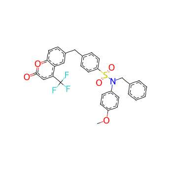 COc1ccc(N(Cc2ccccc2)S(=O)(=O)c2ccc(Cc3ccc4oc(=O)cc(C(F)(F)F)c4c3)cc2)cc1